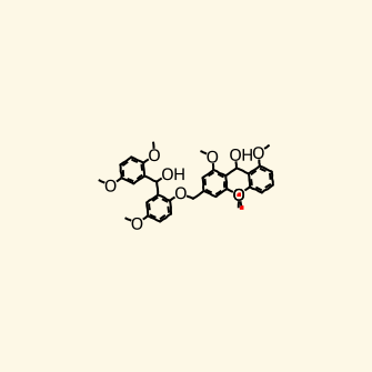 COc1ccc(OC)c(C(O)c2cc(OC)ccc2OCc2cc(OC)c(C(O)c3c(OC)cccc3OC)c(OC)c2)c1